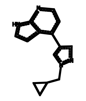 c1cc(-c2cnn(CC3CC3)c2)c2cc[nH]c2n1